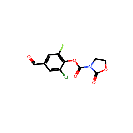 O=Cc1cc(F)c(OC(=O)N2CCOC2=O)c(Cl)c1